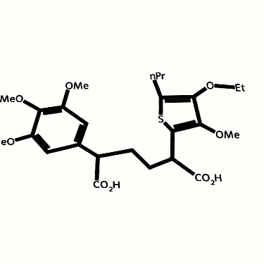 CCCc1sc(C(CCC(C(=O)O)c2cc(OC)c(OC)c(OC)c2)C(=O)O)c(OC)c1OCC